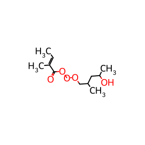 C/C=C(\C)C(=O)OOOCC(C)CC(C)O